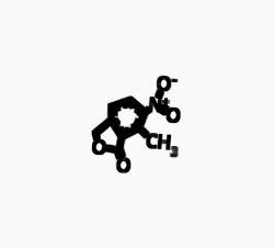 Cc1c([N+](=O)[O-])ccc2c1C(=O)OC2